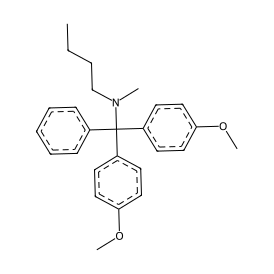 CCCCN(C)C(c1ccccc1)(c1ccc(OC)cc1)c1ccc(OC)cc1